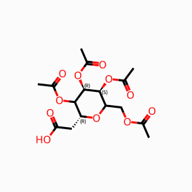 CC(=O)OCC1O[C@H](CC(=O)O)C(OC(C)=O)[C@@H](OC(C)=O)[C@H]1OC(C)=O